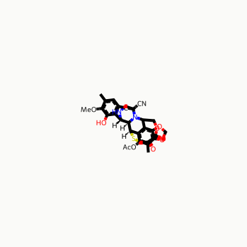 COc1c(C)cc2c(c1O)[C@@H]1NCC(C#N)(C2)N2C3COC(=O)C(=O)CS[C@H](c4c(OC(C)=O)c(C)c5c(c43)OCO5)[C@@H]12